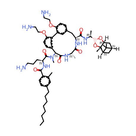 CCCCCCCCc1ccc(C(=O)N[C@@H](CCCN)C(=O)N(C)[C@@H]2C(=O)N[C@@H](C)C(=O)N[C@H](C(=O)N[C@@H](C)B3O[C@@H]4C[C@@H]5C[C@@H](C5(C)C)[C@]4(C)O3)Cc3ccc(OCCN)c(c3)-c3cc2ccc3OCCN)c(C)c1